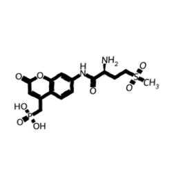 CS(=O)(=O)CC[C@H](N)C(=O)Nc1ccc2c(CP(=O)(O)O)cc(=O)oc2c1